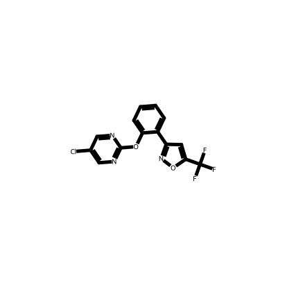 FC(F)(F)c1cc(-c2ccccc2Oc2ncc(Cl)cn2)no1